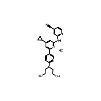 Cl.N#Cc1ccnc(Nc2cc(C3CC3)cc(-c3ccc(N(CCO)CCO)nc3)n2)c1